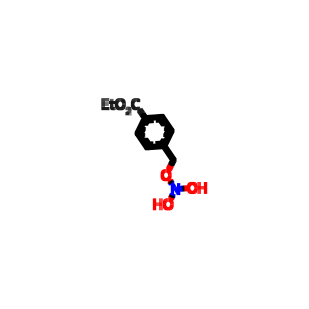 CCOC(=O)c1ccc(CON(O)O)cc1